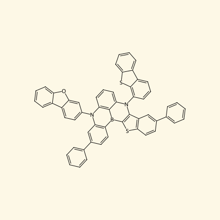 c1ccc(-c2ccc3c(c2)N(c2ccc4c(c2)oc2ccccc24)c2cccc4c2B3c2sc3ccc(-c5ccccc5)cc3c2N4c2cccc3c2sc2ccccc23)cc1